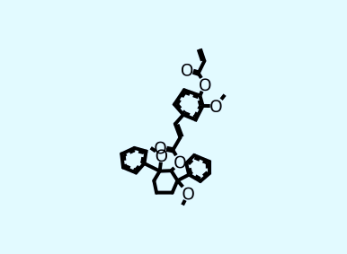 C=CC(=O)Oc1ccc(/C=C/C(=O)OC2C(OC)(c3ccccc3)CCCC2(OC)c2ccccc2)cc1OC